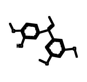 C/C=C(/c1cc(OC)cc(OC)c1)c1ccc(OC)c(O)c1